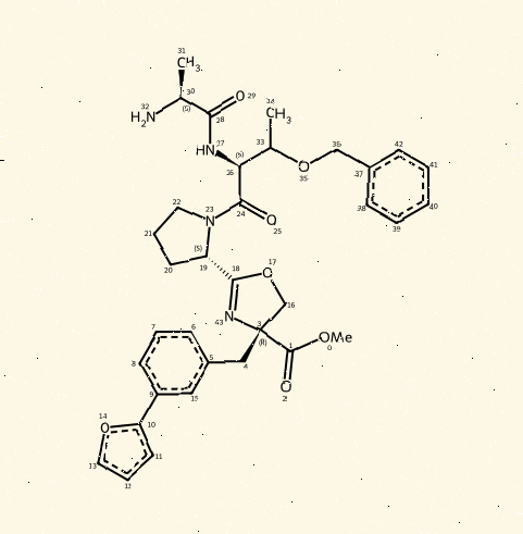 COC(=O)[C@@]1(Cc2cccc(-c3ccco3)c2)COC([C@@H]2CCCN2C(=O)[C@@H](NC(=O)[C@H](C)N)C(C)OCc2ccccc2)=N1